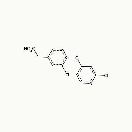 O=C(O)Cc1ccc(Oc2ccnc(Cl)c2)c(Cl)c1